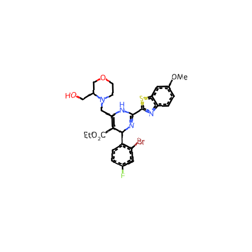 CCOC(=O)C1=C(CN2CCOCC2CO)NC(c2nc3ccc(OC)cc3s2)=NC1c1ccc(F)cc1Br